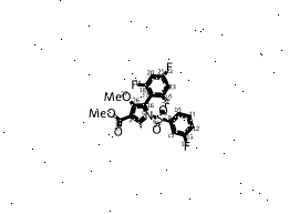 COC(=O)c1cn(S(=O)(=O)c2cccc(F)c2)c(-c2c(F)cc(F)cc2F)c1OC